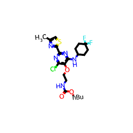 CCCCOC(=O)NCCOc1c(Cl)nc(-c2nc(C)cs2)nc1NC1CCC(F)(F)CC1